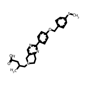 CSc1ccc(COc2ccc(-c3ncc4c(n3)CCN(CC(C)CC(=O)O)C4)cc2)cc1